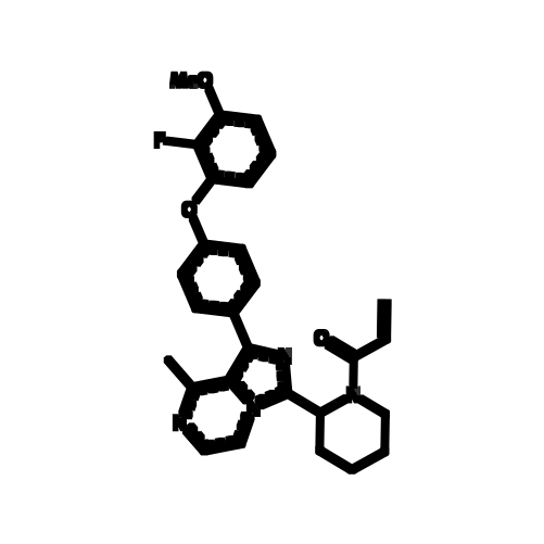 C=CC(=O)N1CCCCC1c1nc(-c2ccc(Oc3cccc(OC)c3F)cc2)c2c(C)nccn12